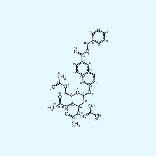 CC(=O)OC[C@H]1O[C@@H](Oc2ccc3cc(C(=O)OCc4ccccc4)ccc3c2)[C@H](OC(C)=O)[C@@H](OC(C)=O)[C@H]1OC(C)=O